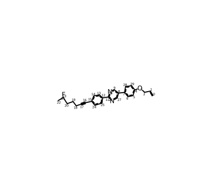 C=CCOc1ccc(-c2cnc(-c3ccc(C#CCCCC(C)F)cc3)nc2)cc1